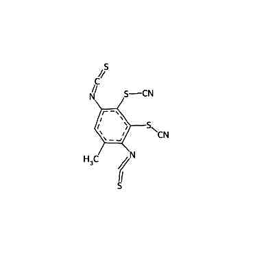 Cc1cc(N=C=S)c(SC#N)c(SC#N)c1N=C=S